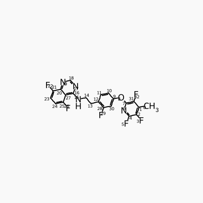 Cc1c(F)c(F)nc(Oc2ccc(CCNc3ncnc4c(F)ccc(F)c34)c(F)c2)c1F